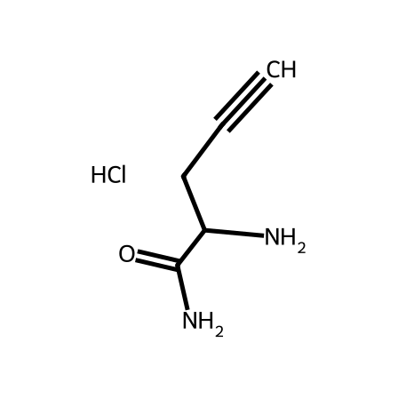 C#CCC(N)C(N)=O.Cl